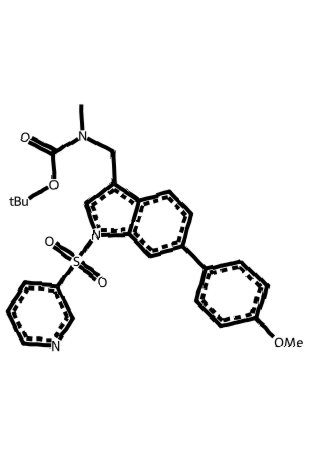 COc1ccc(-c2ccc3c(CN(C)C(=O)OC(C)(C)C)cn(S(=O)(=O)c4cccnc4)c3c2)cc1